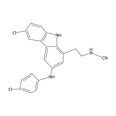 N#CNCCc1cc(Nc2ccc(Cl)cc2)cc2c1[nH]c1ccc(Cl)cc12